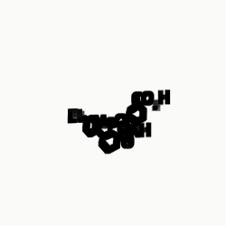 CCc1ccc(-c2cccc(S(=O)(=O)Nc3ccc(C(=O)O)cc3OC)c2F)cc1